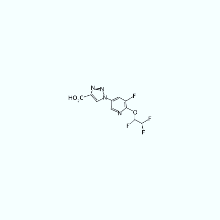 O=C(O)c1cn(-c2cnc(OC(F)C(F)F)c(F)c2)nn1